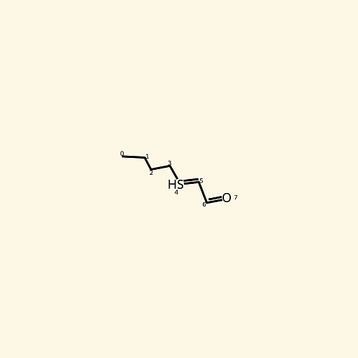 CCCC[SH]=CC=O